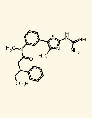 Cc1nc(NC(=N)N)sc1-c1cccc(N(C)C(=O)CC(CC(=O)O)c2ccccc2)c1